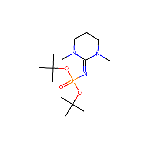 CN1CCCN(C)C1=NP(=O)(OC(C)(C)C)OC(C)(C)C